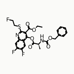 CCOC(=O)c1c(SCCF)nc2cc(F)c(F)cc2c1OC(=O)[C@H](C)NC(=O)OCc1ccccc1